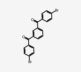 O=C(c1ccc(Br)cc1)c1cccc(C(=O)c2ccc(Br)cc2)c1